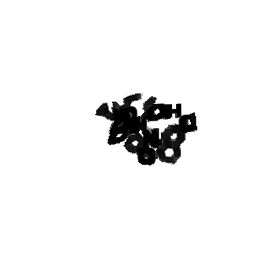 C=CC[C@H](C)N(CC1CC1)S(=O)(=O)NC(=O)c1ccc2c(c1)N(C[C@@H]1CC[C@H]1[C@@H](O)C=C)C[C@@]1(CCCc3cc(Cl)ccc31)CO2